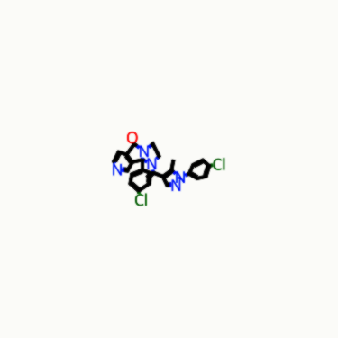 C=C(c1cnn(-c2ccc(Cl)cc2)c1C)N1CCN2C(=O)c3ccncc3C12c1ccc(Cl)cc1